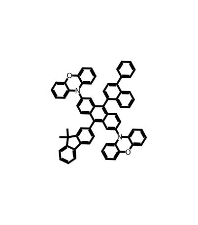 CC1(C)c2ccccc2-c2ccc(-c3c4cc(N5c6ccccc6Oc6ccccc65)ccc4c(-c4ccc(-c5ccccc5)c5ccccc45)c4cc(N5c6ccccc6Oc6ccccc65)ccc34)cc21